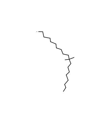 [CH2]CCCCCCCCCC(C)(C)CCCCCCCC